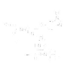 CCn1cnc2ccc(O[C@@H]3C[C@H]4C(=O)N[C@]5(C(=O)NS(=O)(=O)C6(C)CC6)C[C@H]5/C=C\CCCCC[C@H](NC(=O)OC(C)(C)C)C(=O)N4C3)cc21